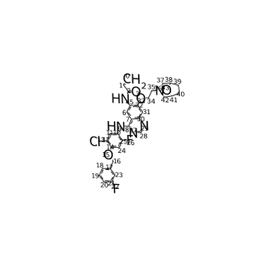 C=CC(=O)Nc1cc2c(Nc3cc(Cl)c(OCc4cccc(F)c4)cc3F)ncnc2cc1OCCN1CC2CCC(C1)O2